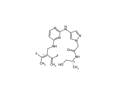 C=C(F)/C(CNc1ccnc(Nc2cnn(CC(=O)N[C@H](C)CO)c2)n1)=C(\C)F